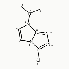 CN(C)n1ccn2c(Cl)nnc12